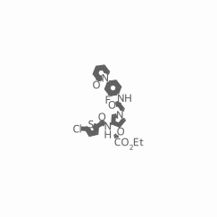 CCOC(=O)CO[C@H]1CN(CC(=O)Nc2ccc(-n3ccccc3=O)cc2F)C[C@@H]1NC(=O)c1ccc(Cl)s1